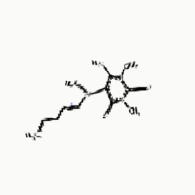 CCC/C=C/N(C)c1c(C)n(C)c(=O)n(C)c1=S